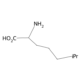 CC(C)CCCC(N)C(=O)O